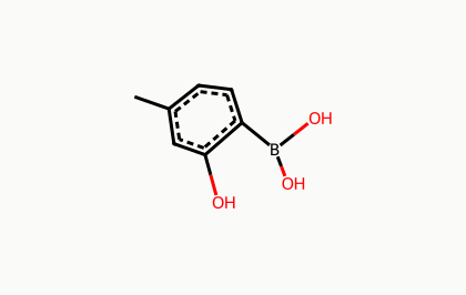 Cc1ccc(B(O)O)c(O)c1